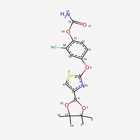 CC1(C)OB(c2csc(Oc3ccc(OC(N)=O)c(F)c3)n2)OC1(C)C